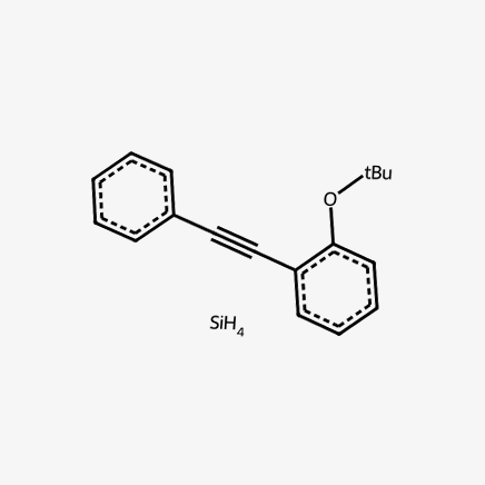 CC(C)(C)Oc1ccccc1C#Cc1ccccc1.[SiH4]